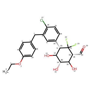 CCOc1ccc(Cc2cc([C@H]3C(O)[C@@H](O)C(O)[C@@H](C=O)C3(F)F)ccc2Cl)cc1